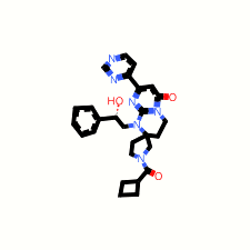 O=C(C1CCC1)N1CCC2(CCn3c(nc(-c4ccncn4)cc3=O)N2C[C@@H](O)c2ccccc2)C1